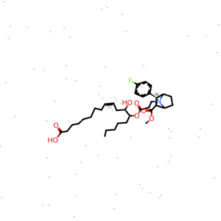 CCCCCC(OC(=O)CCN1C2CCC1[C@H](c1ccc(F)cc1)C2C(=O)OC)C(O)C/C=C\CCCCCCCC(=O)O